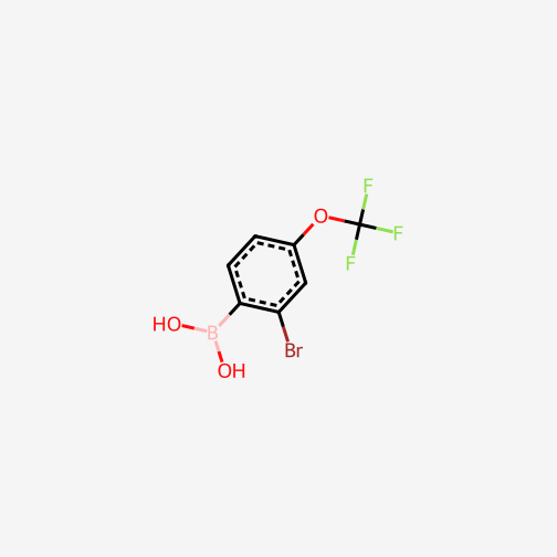 OB(O)c1ccc(OC(F)(F)F)cc1Br